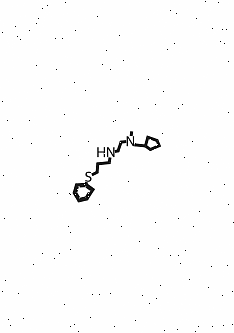 CN(CCNCCCSc1ccccc1)CC1CCCC1